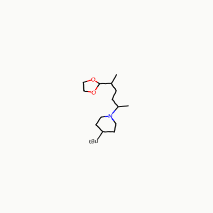 CC(CCC(C)N1CCC(C(C)(C)C)CC1)C1OCCO1